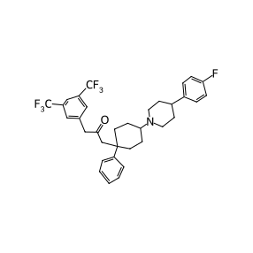 O=C(Cc1cc(C(F)(F)F)cc(C(F)(F)F)c1)CC1(c2ccccc2)CCC(N2CCC(c3ccc(F)cc3)CC2)CC1